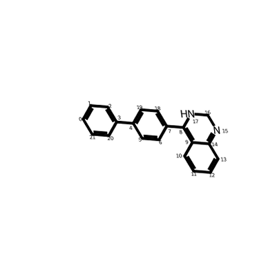 c1ccc(-c2ccc(C3=c4ccccc4=NCN3)cc2)cc1